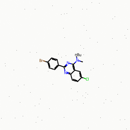 CCCCN(C)c1nc(-c2ccc(Br)cc2)nc2ccc(Cl)cc12